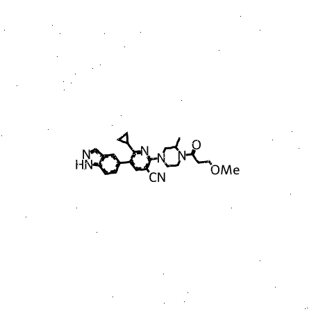 COCCC(=O)N1CCN(c2nc(C3CC3)c(-c3ccc4[nH]ncc4c3)cc2C#N)CC1C